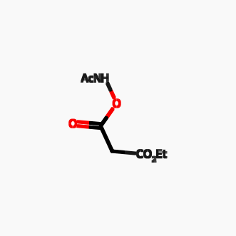 CCOC(=O)CC(=O)ONC(C)=O